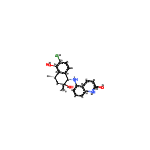 C[C@H]1C[C@](O)(C(F)(F)F)[C@@H](Nc2cccc3[nH]c(=O)ccc23)c2ccc(Cl)c(O)c21